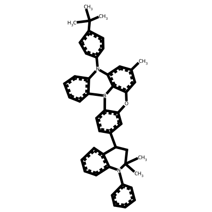 Cc1cc2c3c(c1)N(c1ccc(C(C)(C)C)cc1)c1ccccc1B3c1ccc(C3CC(C)(C)N(c4ccccc4)c4ccccc43)cc1O2